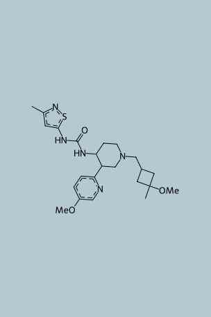 COc1ccc(C2CN(CC3CC(C)(OC)C3)CCC2NC(=O)Nc2cc(C)ns2)nc1